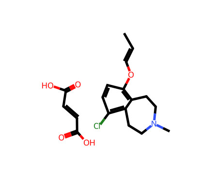 CC=COc1ccc(Cl)c2c1CCN(C)CC2.O=C(O)C=CC(=O)O